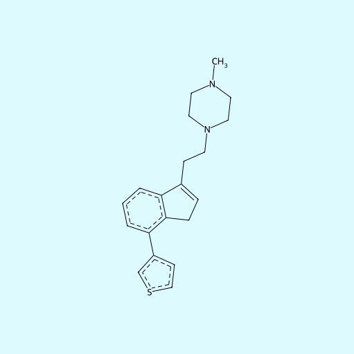 CN1CCN(CCC2=CCc3c2cccc3-c2ccsc2)CC1